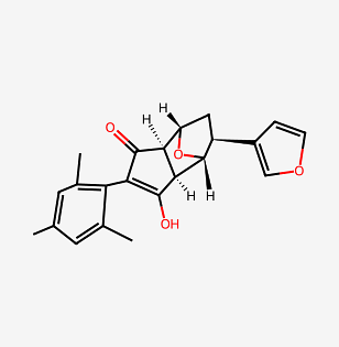 Cc1cc(C)c(C2=C(O)[C@@H]3[C@@H]4O[C@@H](C[C@H]4c4ccoc4)[C@@H]3C2=O)c(C)c1